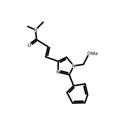 COCn1cc(C=CC(=O)N(C)C)nc1-c1ccccc1